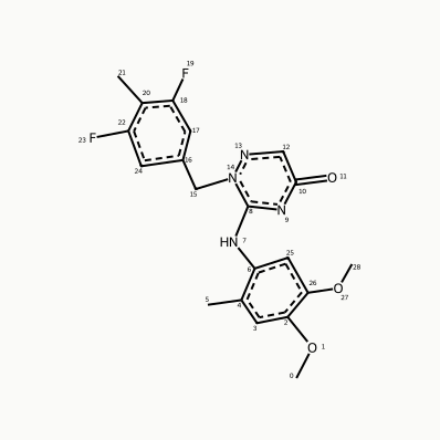 COc1cc(C)c(Nc2nc(=O)cnn2Cc2cc(F)c(C)c(F)c2)cc1OC